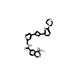 C[C@@]1(C#N)COCc2ccc(C(=O)NCc3cc(C4CC(c5cccc(N6CCOCC6)n5)C4)ccn3)cc21